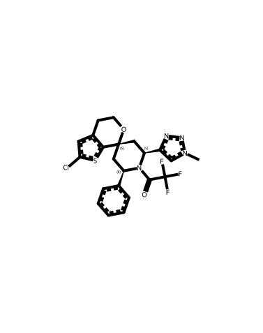 Cn1cc([C@@H]2C[C@]3(C[C@H](c4ccccc4)N2C(=O)C(F)(F)F)OCCc2cc(Cl)sc23)nn1